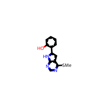 CSc1ncnc2[nH]c(-c3ccccc3O)cc12